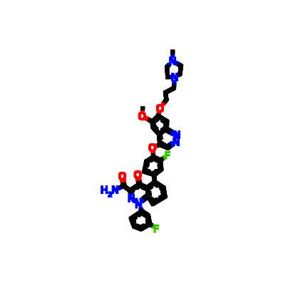 COc1cc2c(Oc3ccc(-c4cccc5c4c(=O)c(C(N)=O)nn5-c4cccc(F)c4)cc3F)cnnc2cc1OCCCN1CCN(C)CC1